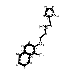 Fc1c(OCCNCc2cccs2)ccc2ccccc12